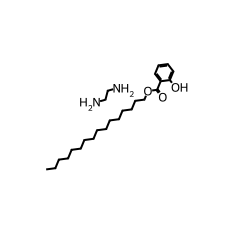 CCCCCCCCCCCCCCCCOC(=O)c1ccccc1O.NCCN